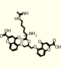 CC(=N)NCCCC[C@H](N)C(=O)OC(COc1cccc2oc(C(=O)O)cc(=O)c12)COc1cccc2oc(C(=O)O)cc(=O)c12